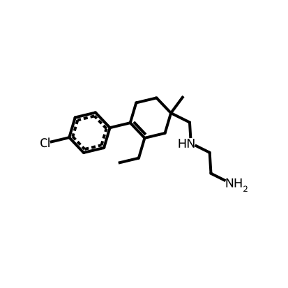 CCC1=C(c2ccc(Cl)cc2)CCC(C)(CNCCN)C1